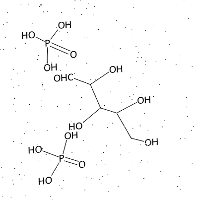 O=CC(O)C(O)C(O)CO.O=P(O)(O)O.O=P(O)(O)O